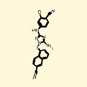 N#Cc1ccc2c(Sn3nc(Nc4ccc(C#N)c(Cl)c4)nc3N)cccc2c1